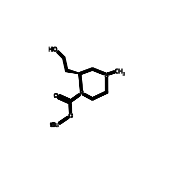 CN1CCN(C(=O)OC(C)(C)C)[C@@H](CCO)C1